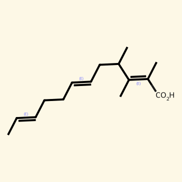 C/C=C/CC/C=C/CC(C)/C(C)=C(\C)C(=O)O